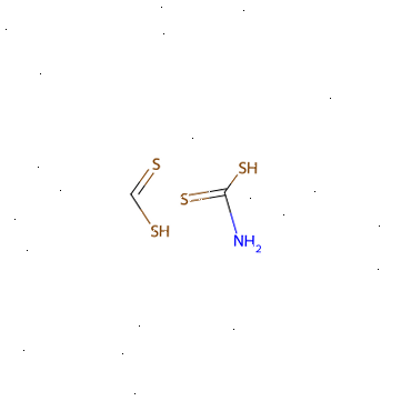 NC(=S)S.S=CS